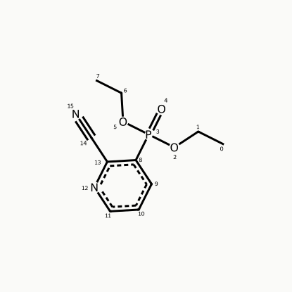 CCOP(=O)(OCC)c1cccnc1C#N